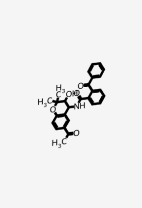 CC(=O)c1ccc2c(c1)C(NC(=O)c1ccccc1C(=O)c1ccccc1)C(O)C(C)(C)O2